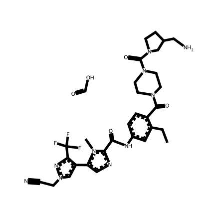 CCc1cc(NC(=O)c2ncc(-c3cn(CC#N)nc3C(F)(F)F)n2C)ccc1C(=O)N1CCN(C(=O)N2CCC(CN)C2)CC1.O=CO